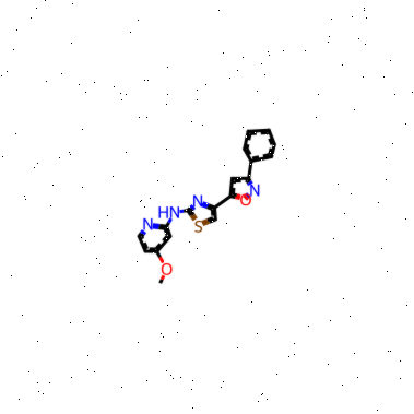 COc1ccnc(Nc2nc(-c3cc(-c4ccccc4)no3)cs2)c1